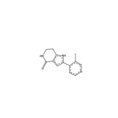 O=C1NCCc2[nH]c(-c3ccncc3I)cc21